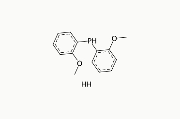 COc1ccccc1Pc1ccccc1OC.[HH]